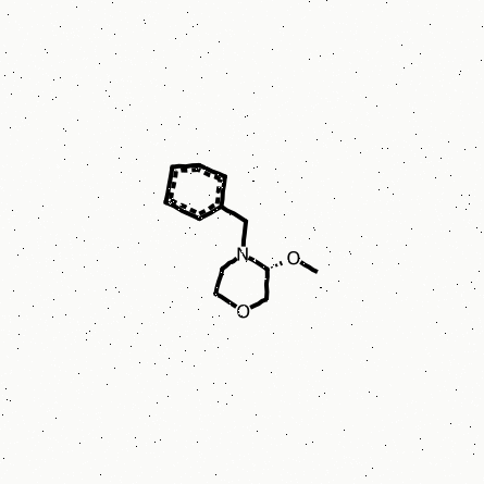 CO[C@@H]1COCCN1Cc1ccccc1